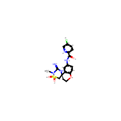 CN1C(=N)N[C@@]2(CCOc3ccc(NC(=O)c4ccc(Cl)cn4)cc32)CS1(=O)=O